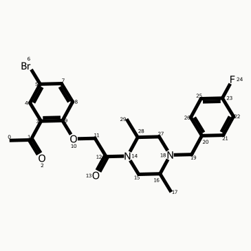 CC(=O)c1cc(Br)ccc1OCC(=O)N1CC(C)N(Cc2ccc(F)cc2)CC1C